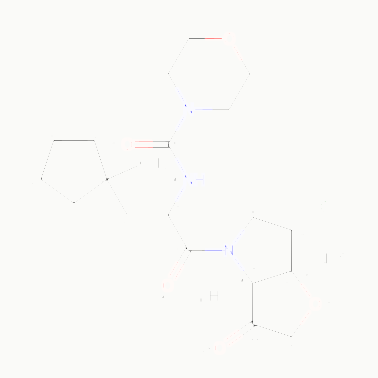 CC1(C[C@H](NC(=O)N2CCOCC2)C(=O)N2C[C@H](Cl)[C@H]3OCC(=O)[C@H]32)CCCC1